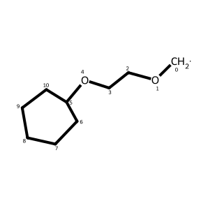 [CH2]OCCOC1CCCCC1